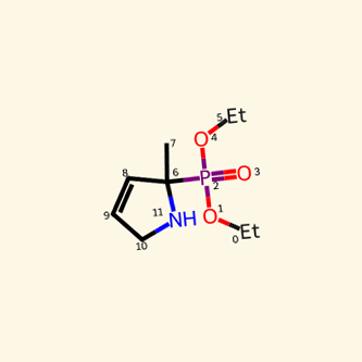 CCOP(=O)(OCC)C1(C)C=CCN1